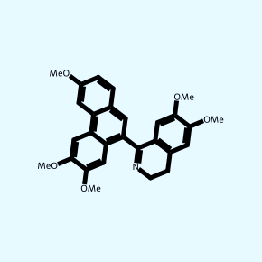 COc1ccc2cc(C3=NCCc4cc(OC)c(OC)cc43)c3cc(OC)c(OC)cc3c2c1